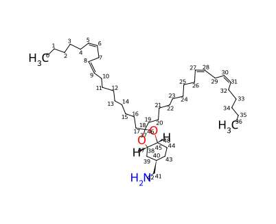 CCCCC/C=C\C/C=C\CCCCCCCCC1(CCCCCCCC/C=C\C/C=C\CCCCC)O[C@H]2C[C@H](CN)CC[C@H]2O1